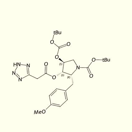 COc1ccc(C[C@@H]2[C@H](OC(=O)Cc3nn[nH]n3)[C@@H](OC(=O)OC(C)(C)C)CN2C(=O)OC(C)(C)C)cc1